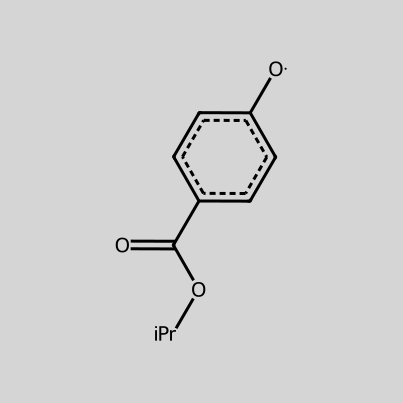 CC(C)OC(=O)c1ccc([O])cc1